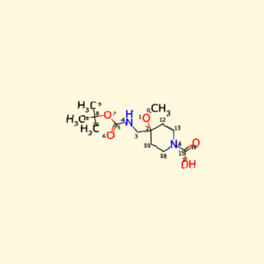 COC1(CNC(=O)OC(C)(C)C)CCN(C(=O)O)CC1